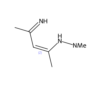 CNN/C(C)=C\C(C)=N